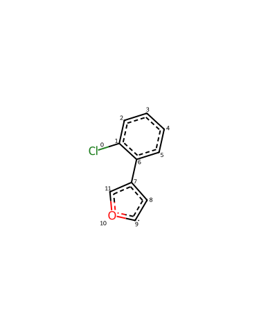 Clc1ccccc1-c1c[c]oc1